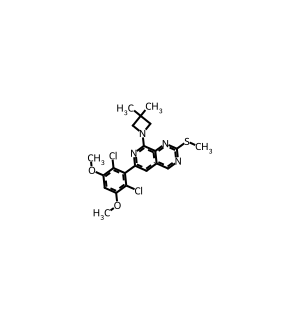 COc1cc(OC)c(Cl)c(-c2cc3cnc(SC)nc3c(N3CC(C)(C)C3)n2)c1Cl